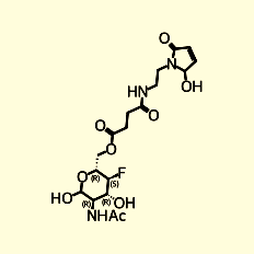 CC(=O)N[C@H]1C(O)O[C@H](COC(=O)CCC(=O)NCCN2C(=O)C=CC2O)[C@@H](F)[C@@H]1O